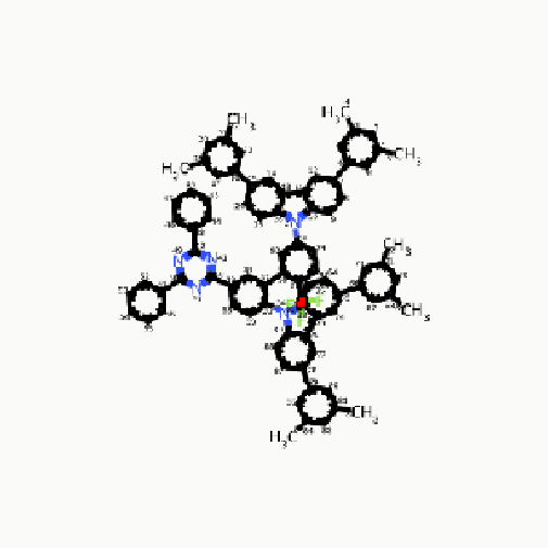 Cc1cc(C)cc(-c2ccc3c(c2)c2cc(-c4cc(C)cc(C)c4)ccc2n3-c2ccc(C(F)(F)F)c(-c3cc(-c4nc(-c5ccccc5)nc(-c5ccccc5)n4)ccc3-n3c4ccc(-c5cc(C)cc(C)c5)cc4c4cc(-c5cc(C)cc(C)c5)ccc43)c2)c1